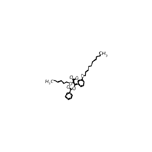 CCC=CCCOc1c(OC(=O)c2ccccc2)c2cccc(OCCCCCCCCCC)c2oc1=O